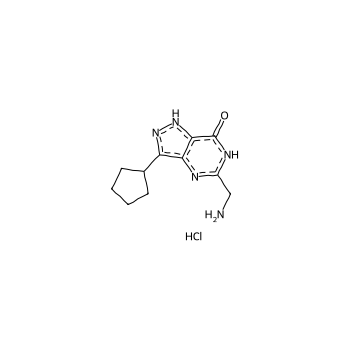 Cl.NCc1nc2c(C3CCCC3)n[nH]c2c(=O)[nH]1